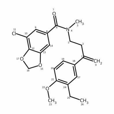 C=C(CCN(C)C(=O)c1cc(Cl)c2c(c1)OCO2)c1ccc(OC)c(CC)c1